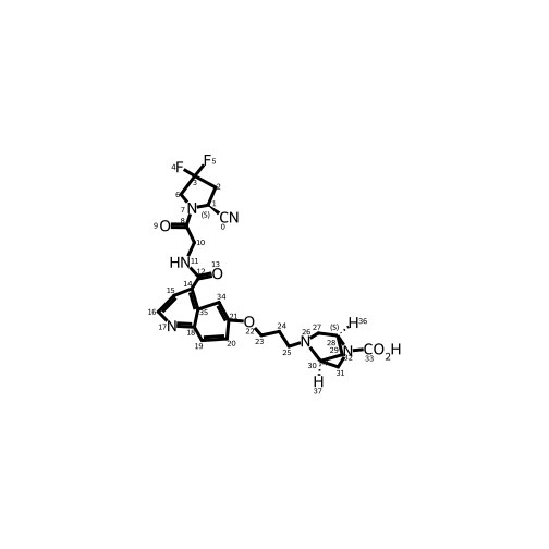 N#C[C@@H]1CC(F)(F)CN1C(=O)CNC(=O)c1ccnc2ccc(OCCCN3C[C@@H]4C[C@H]3CN4C(=O)O)cc12